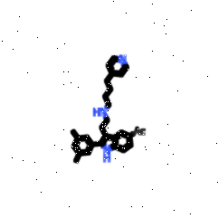 CC(=O)c1ccc2[nH]c(-c3cc(C)cc(C)c3)c(CCNCCCCc3ccncc3)c2c1